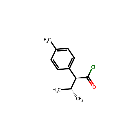 C[C@H]([C@H](C(=O)Cl)c1ccc(C(F)(F)F)cc1)C(F)(F)F